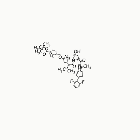 CC(C)[C@H](C(=O)N1C[C@H](O)C[C@H]1C(=O)N[C@@H](C)c1ccc(-c2c(F)cccc2F)cc1)c1cc(OCC2CCN(C(=O)OC(C)(C)C)CC2)no1